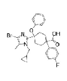 Cc1c(Br)nc(C2(Oc3ccccc3)CCC(C(=O)O)(c3ccc(F)cc3)CC2)n1CC1CC1